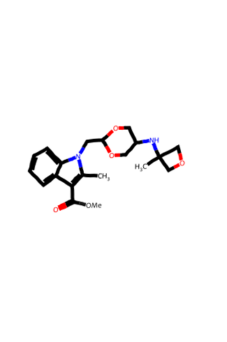 COC(=O)c1c(C)n(CC2OCC(NC3(C)COC3)CO2)c2ccccc12